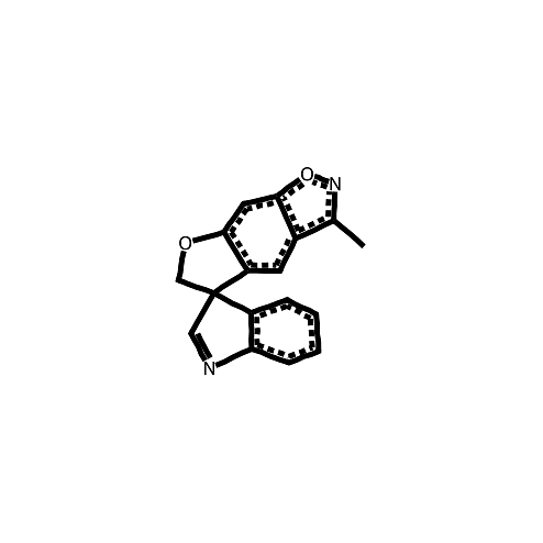 Cc1noc2cc3c(cc12)C1(C=Nc2ccccc21)CO3